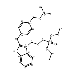 CCOP(=O)(CCC[n+]1c(CC2C=CN(CCN(C)C)C=C2)sc2ccccc21)OCC